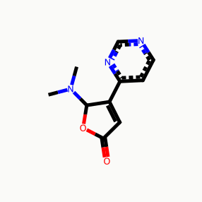 CN(C)C1OC(=O)C=C1c1ccncn1